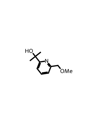 COCc1cccc(C(C)(C)O)n1